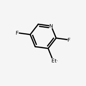 C[CH]c1cc(F)cnc1F